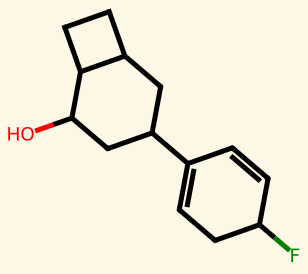 OC1CC(C2=CCC(F)C=C2)CC2CCC12